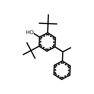 CC(c1ccccc1)c1cc(C(C)(C)C)c(O)c(C(C)(C)C)c1